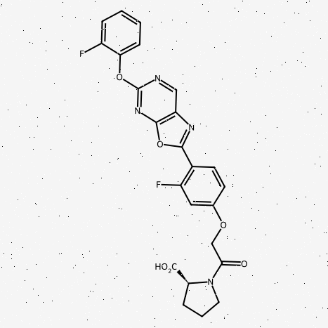 O=C(O)[C@@H]1CCCN1C(=O)COc1ccc(-c2nc3cnc(Oc4ccccc4F)nc3o2)c(F)c1